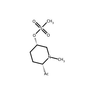 CC(=O)[C@@H]1CC[C@H](OS(C)(=O)=O)CN1C